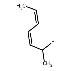 C/C=C\C=C/C(C)F